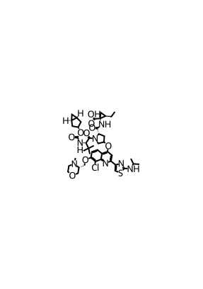 CC[C@@H]1C[C@]1(NC(=O)[C@@H]1CC(Oc2cc(-c3csc(NC(C)C)n3)nc3c(Cl)c(OC[C@@H]4COCCN4C)ccc23)CN1C(=O)[C@@H](NC(=O)O[C@@H]1C[C@@H]2C[C@@H]2C1)C(C)(C)C)C(=O)O